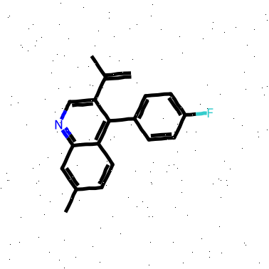 C=C(C)c1cnc2cc(C)ccc2c1-c1ccc(F)cc1